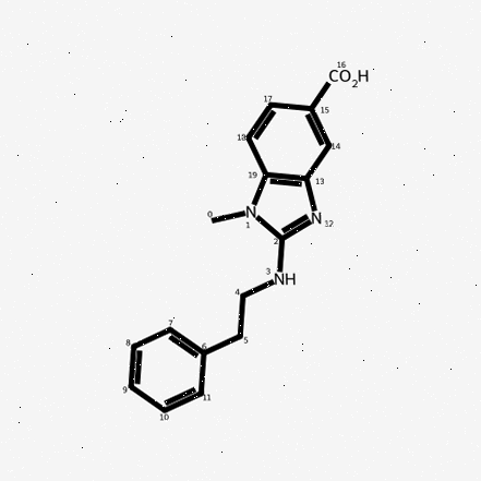 Cn1c(NCCc2ccccc2)nc2cc(C(=O)O)ccc21